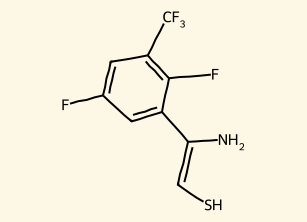 N/C(=C\S)c1cc(F)cc(C(F)(F)F)c1F